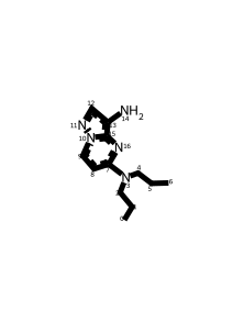 CCCN(CCC)c1ccn2ncc(N)c2n1